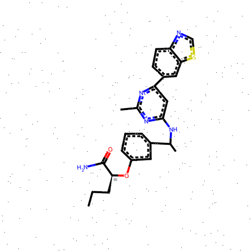 CCC[C@H](Oc1cccc(C(C)Nc2cc(-c3ccc4ncsc4c3)nc(C)n2)c1)C(N)=O